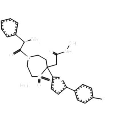 Cl.N[C@@H](C(=O)N1CCC(CC(=O)NO)(c2ccc(-c3ccc(F)cc3)s2)S(=O)(=O)CC1)c1ccccc1